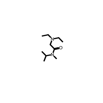 CCN(CC)CC(=O)N(C)C(C)C